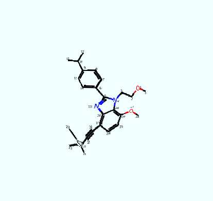 COCCn1c(-c2ccc(C(C)C)cc2)nc2c(C#C[Si](C)(C)C)ccc(OC)c21